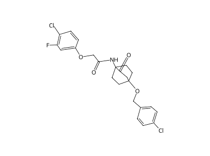 O=C(COc1ccc(Cl)c(F)c1)NC12CCC(OCc3ccc(Cl)cc3)(CC1)CC2=O